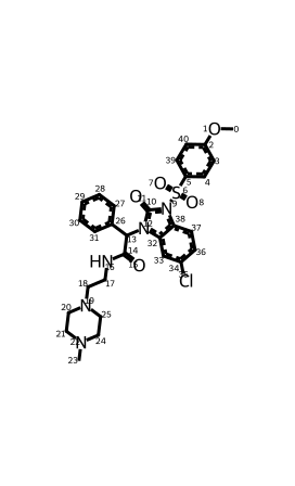 COc1ccc(S(=O)(=O)n2c(=O)n(C(C(=O)NCCN3CCN(C)CC3)c3ccccc3)c3cc(Cl)ccc32)cc1